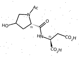 CC(=O)N1CC(O)C[C@H]1C(=O)N[C@@H](CC(=O)O)C(=O)O